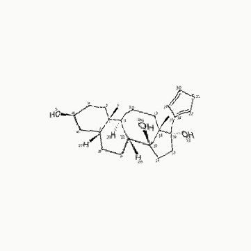 C[C@]12CC[C@H](O)C[C@H]1CC[C@@H]1[C@@H]2CC[C@]2(C)[C@@](O)(c3ccsc3)CC[C@]12O